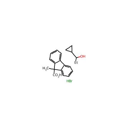 Br.CC1(C(=O)O)c2ccccc2-c2ccccc21.CCC(O)C1CC1